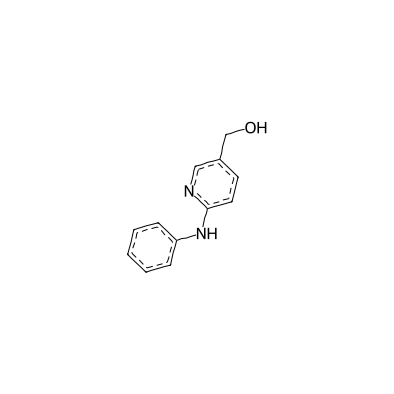 OCc1ccc(Nc2ccccc2)nc1